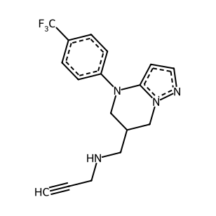 C#CCNCC1CN(c2ccc(C(F)(F)F)cc2)c2ccnn2C1